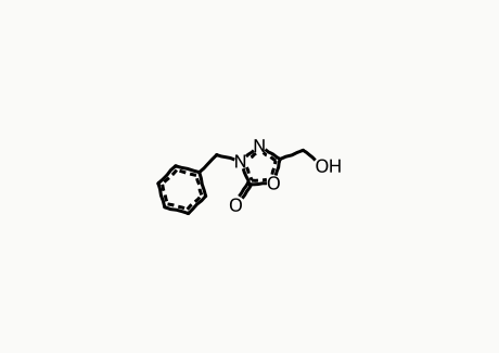 O=c1oc(CO)nn1Cc1ccccc1